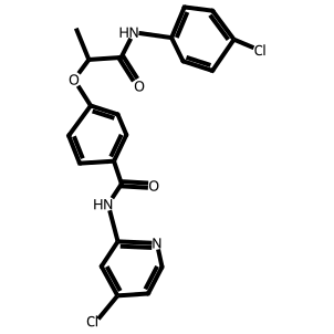 CC(Oc1ccc(C(=O)Nc2cc(Cl)ccn2)cc1)C(=O)Nc1ccc(Cl)cc1